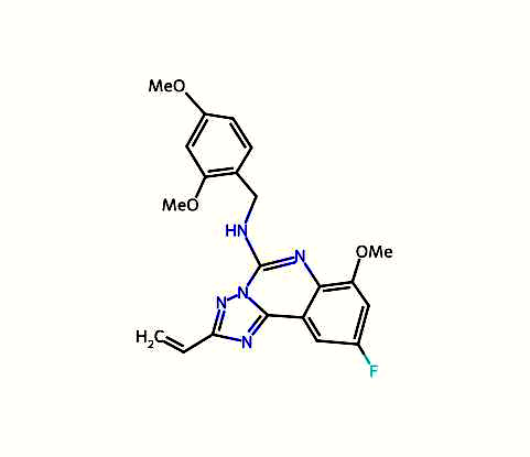 C=Cc1nc2c3cc(F)cc(OC)c3nc(NCc3ccc(OC)cc3OC)n2n1